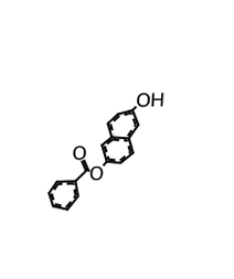 O=C(Oc1ccc2cc(O)ccc2c1)c1ccccc1